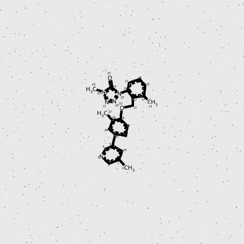 Cc1cncc(-c2ccc(OCc3c(C)cccc3-n3nnn(C)c3=O)c(C)c2)c1